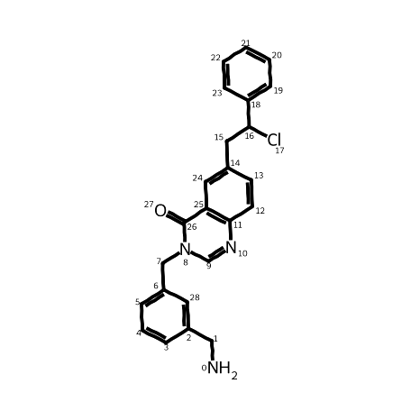 NCc1cccc(Cn2cnc3ccc(CC(Cl)c4ccccc4)cc3c2=O)c1